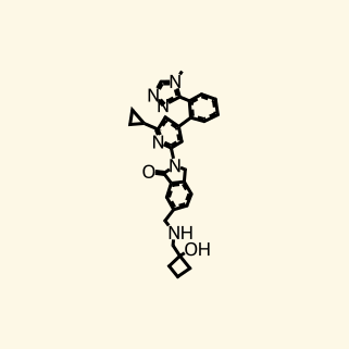 Cn1cnnc1-c1ccccc1-c1cc(C2CC2)nc(N2Cc3ccc(CNCC4(O)CCC4)cc3C2=O)c1